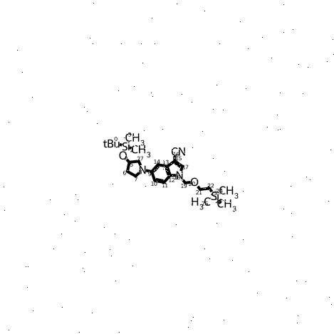 CC(C)(C)[Si](C)(C)OC1CCN(c2ccc3c(c2)c(C#N)cn3COCC[Si](C)(C)C)C1